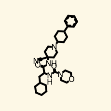 N#CC1(NC(=O)C(CC2CCCCC2)NC(=O)N2CCOCC2)CCN(C2CCC(c3ccccc3)CC2)CC1